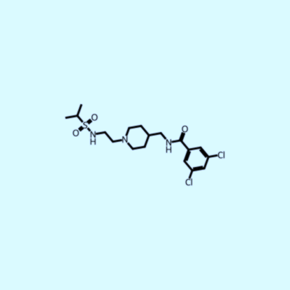 CC(C)S(=O)(=O)NCCN1CCC(CNC(=O)c2cc(Cl)cc(Cl)c2)CC1